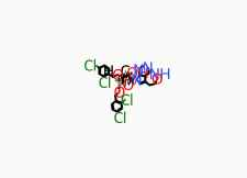 C[C@@]1(O)[C@H](OCc2ccc(Cl)cc2Cl)[C@@H](COCc2ccc(Cl)cc2Cl)O[C@H]1n1cc2c3c(ncnc31)NOCC2